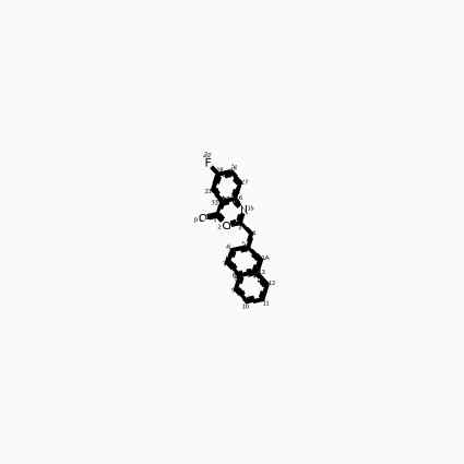 O=c1oc(Cc2ccc3ccccc3c2)nc2ccc(F)cc12